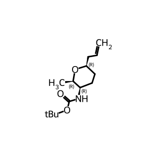 C=CC[C@H]1CC[C@@H](NC(=O)OC(C)(C)C)[C@@H](C)O1